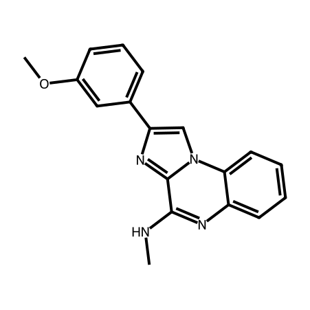 CNc1nc2ccccc2n2cc(-c3cccc(OC)c3)nc12